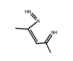 CC(=N)/C=C(/C)N=N